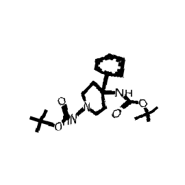 CC(C)(C)OC(=O)NN1CCC(NC(=O)OC(C)(C)C)(c2ccccc2)CC1